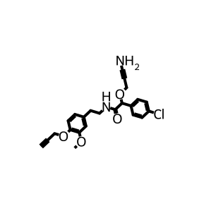 C#CCOc1ccc(CCNC(=O)C(OCC#CN)c2ccc(Cl)cc2)cc1OC